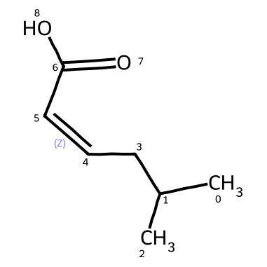 CC(C)C/C=C\C(=O)O